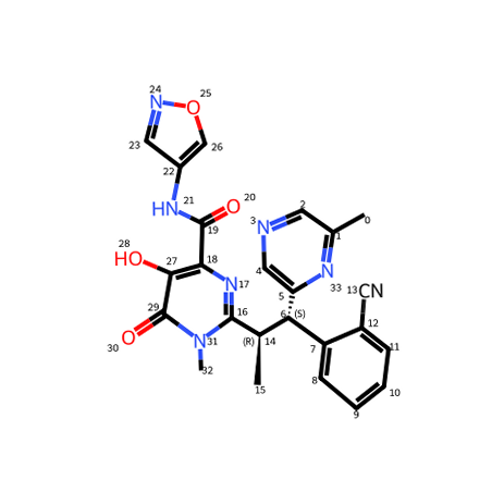 Cc1cncc([C@H](c2ccccc2C#N)[C@@H](C)c2nc(C(=O)Nc3cnoc3)c(O)c(=O)n2C)n1